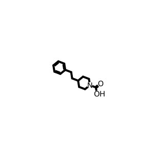 O=C(O)N1CCC(CCc2ccccc2)CC1